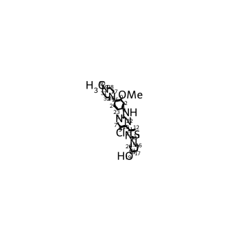 COc1cc(Nc2ncc(Cl)c(-c3csc(N4CC[C@H](O)C4)n3)n2)ccc1N1CCN(C)CC1